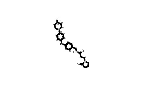 O=C(CCN1CCCC1=O)NCc1ccc(Nc2ccc(N3CCC(C(F)(F)F)CC3)cc2)cc1